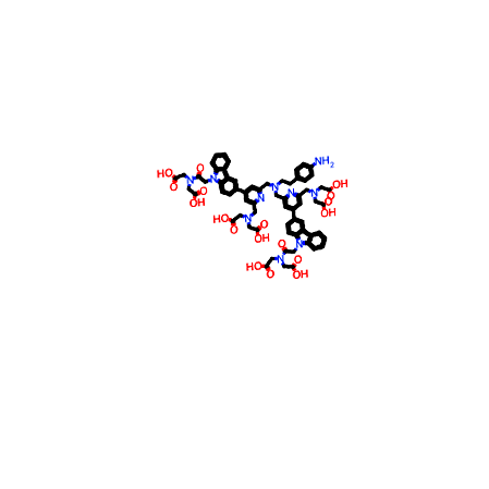 Nc1ccc(CCN(Cc2cc(-c3ccc4c(c3)c3ccccc3n4CC(=O)N(CC(=O)O)CC(=O)O)cc(CN(CC(=O)O)CC(=O)O)n2)Cc2cc(-c3ccc4c(c3)c3ccccc3n4CC(=O)N(CC(=O)O)CC(=O)O)cc(CN(CC(=O)O)CC(=O)O)n2)cc1